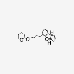 C1=C[C@@H]2c3cccc(CCCCOC4CCCCO4)c3O[C@@H]2C1